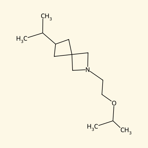 CC(C)OCCN1CC2(CC(C(C)C)C2)C1